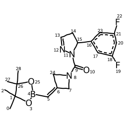 CC1(C)OB(C=C2CN(C(=O)N3N=CCC3c3cc(F)cc(F)c3)C2)OC1(C)C